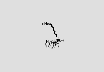 CCCCCCC=CCCCCCCOP(=O)(O)O[C@H](CC(=O)O)C[N+](C)(C)C